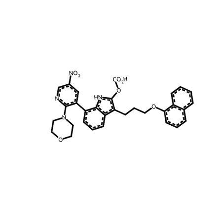 O=C(O)Oc1[nH]c2c(-c3cc([N+](=O)[O-])cnc3N3CCOCC3)cccc2c1CCCOc1cccc2ccccc12